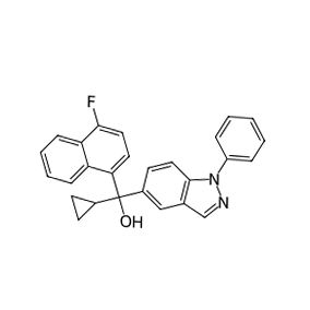 OC(c1ccc2c(cnn2-c2ccccc2)c1)(c1ccc(F)c2ccccc12)C1CC1